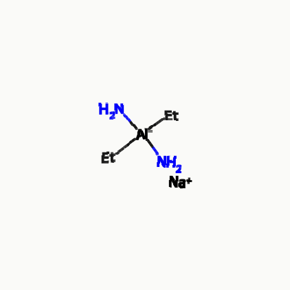 C[CH2][Al-]([NH2])([NH2])[CH2]C.[Na+]